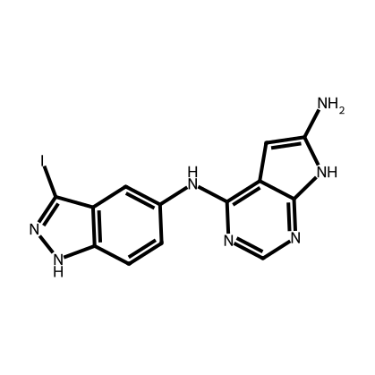 Nc1cc2c(Nc3ccc4[nH]nc(I)c4c3)ncnc2[nH]1